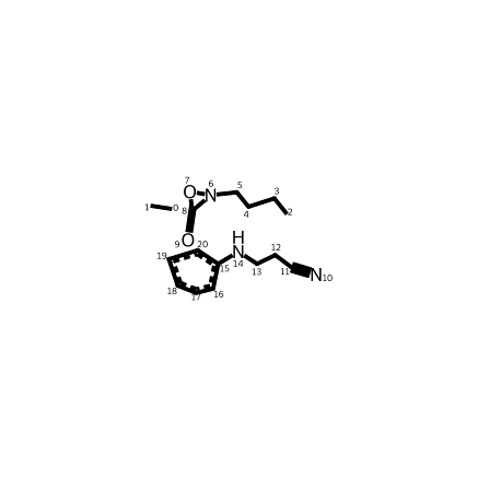 CC.CCCCN1OC1=O.N#CCCNc1ccccc1